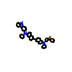 Cn1c2ccccc2c2cc(N(c3ccccc3)c3ccc4cc(-c5ccc6cc(N(c7ccccc7)c7ccc8sc9ccccc9c8c7)ccc6c5)ccc4c3)ccc21